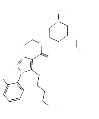 COCCCCc1c(C(=O)N(CC(C)C)[C@H]2C[C@@H](COC)CN(C(=O)O)C2)nnn1-c1ccccc1F